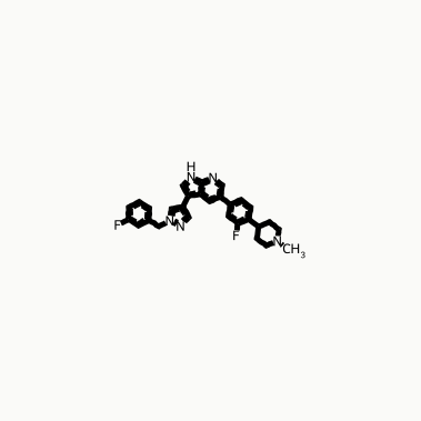 CN1CCC(c2ccc(-c3cnc4[nH]cc(-c5cnn(Cc6cccc(F)c6)c5)c4c3)cc2F)CC1